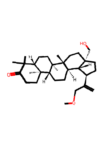 C=C(COC)[C@@H]1CC[C@]2(CO)CC[C@]3(C)[C@H](CC[C@@H]4[C@@]5(C)CCC(=O)C(C)(C)[C@@H]5CC[C@]43C)[C@@H]12